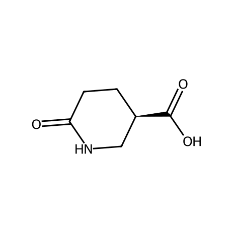 O=C1CC[C@@H](C(=O)O)CN1